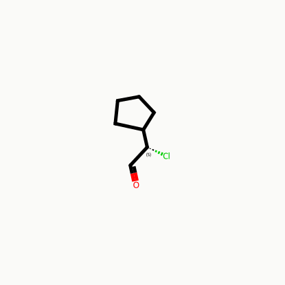 O=C[C@@H](Cl)C1CCCC1